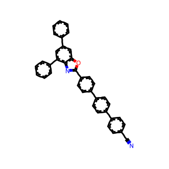 N#Cc1ccc(-c2ccc(-c3ccc(-c4nc5c(-c6ccccc6)cc(-c6ccccc6)cc5o4)cc3)cc2)cc1